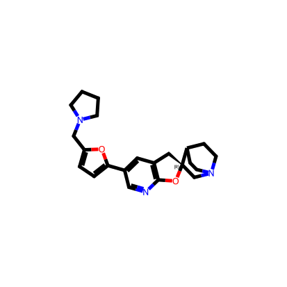 c1nc2c(cc1-c1ccc(CN3CCCC3)o1)C[C@@]1(CN3CCC1CC3)O2